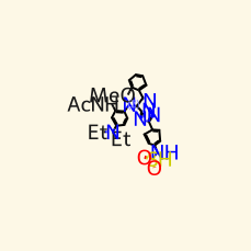 CCN(CC)c1ccc(/N=C2/C(c3ccccc3OC)=Nn3nc(-c4ccc(N[SH](=O)=O)cc4)nc32)c(NC(C)=O)c1